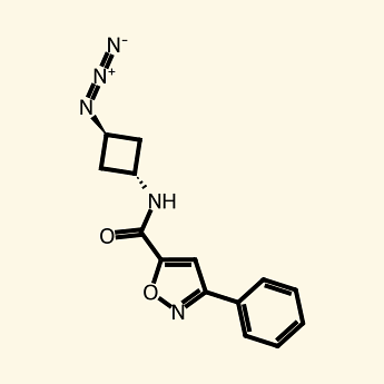 [N-]=[N+]=N[C@H]1C[C@H](NC(=O)c2cc(-c3ccccc3)no2)C1